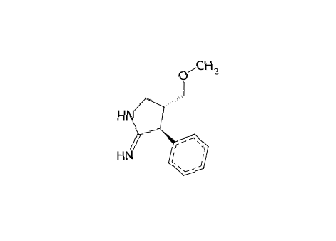 COC[C@H]1CNC(=N)[C@@H]1c1ccccc1